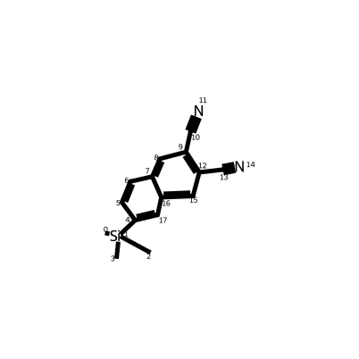 C[Si](C)(C)c1ccc2cc(C#N)c(C#N)cc2c1